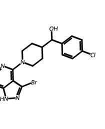 OC(c1ccc(Cl)cc1)C1CCN(c2ncnc3[nH]nc(Br)c23)CC1